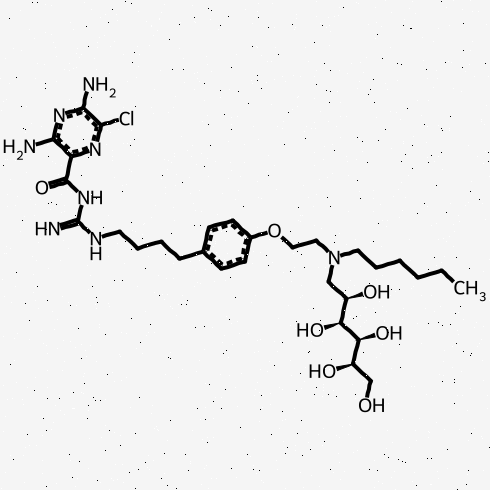 CCCCCCN(CCOc1ccc(CCCCNC(=N)NC(=O)c2nc(Cl)c(N)nc2N)cc1)C[C@@H](O)[C@H](O)[C@@H](O)[C@H](O)CO